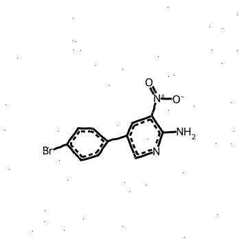 Nc1ncc(-c2ccc(Br)cc2)cc1[N+](=O)[O-]